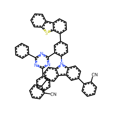 N#Cc1ccccc1-c1ccc2c(c1)c1cc(-c3ccccc3C#N)ccc1n2-c1ccc(-c2cccc3c2sc2ccccc23)cc1-c1nc(-c2ccccc2)nc(-c2ccccc2)n1